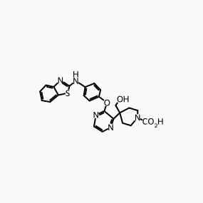 O=C(O)N1CCC(CO)(c2nccnc2Oc2ccc(Nc3nc4ccccc4s3)cc2)CC1